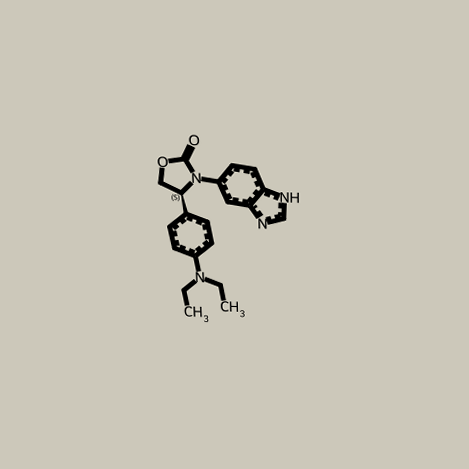 CCN(CC)c1ccc([C@H]2COC(=O)N2c2ccc3[nH]cnc3c2)cc1